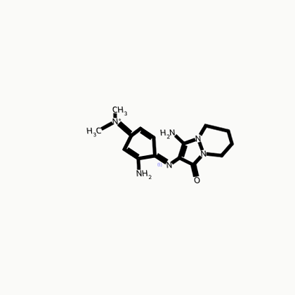 C[N+](C)=C1C=C/C(=N\c2c(N)n3n(c2=O)CCCC3)C(N)=C1